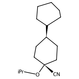 CC(C)O[C@]1(C#N)CC[C@@H](C2CCCCC2)CC1